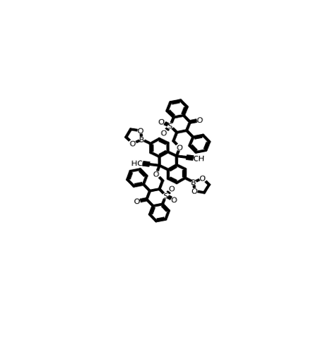 C#CC1(OCC2C(c3ccccc3)C(=O)c3ccccc3S2(=O)=O)c2ccc(B3OCCO3)cc2C(C#C)(OCC2C(c3ccccc3)C(=O)c3ccccc3S2(=O)=O)c2ccc(B3OCCO3)cc21